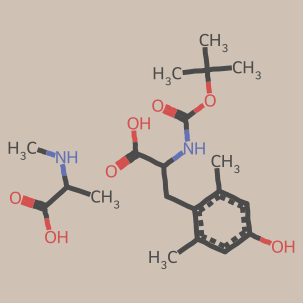 CNC(C)C(=O)O.Cc1cc(O)cc(C)c1CC(NC(=O)OC(C)(C)C)C(=O)O